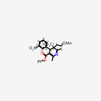 COCCC1(C(=O)O)C(C)=NC(C)=C(C(=O)OC(C)C)C1c1cccc([N+](=O)[O-])c1